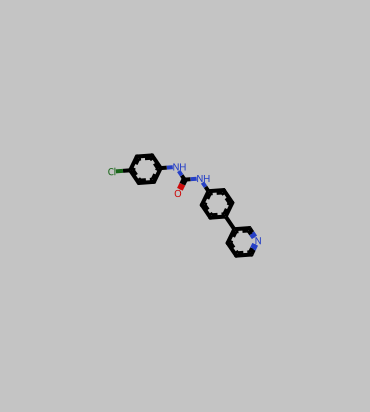 O=C(Nc1ccc(Cl)cc1)Nc1ccc(-c2cccnc2)cc1